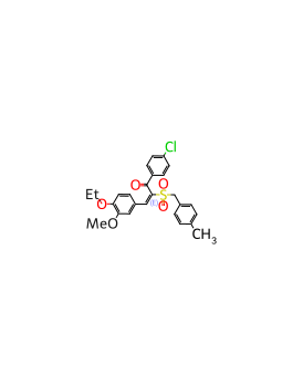 CCOc1ccc(/C=C(\C(=O)c2ccc(Cl)cc2)S(=O)(=O)Cc2ccc(C)cc2)cc1OC